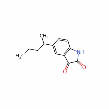 CCCC(C)c1ccc2c(c1)C(=O)C(=O)N2